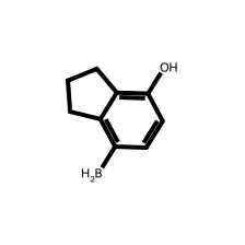 Bc1ccc(O)c2c1CCC2